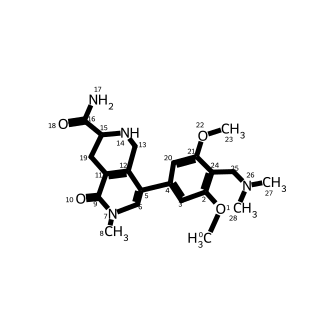 COc1cc(-c2cn(C)c(=O)c3c2CNC(C(N)=O)C3)cc(OC)c1CN(C)C